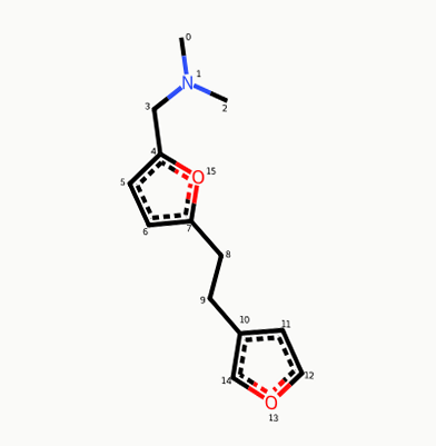 CN(C)Cc1ccc(CCc2ccoc2)o1